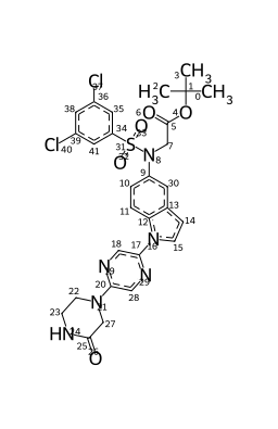 CC(C)(C)OC(=O)CN(c1ccc2c(ccn2-c2cnc(N3CCNC(=O)C3)cn2)c1)S(=O)(=O)c1cc(Cl)cc(Cl)c1